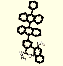 Cc1cc2ccccc2cc1-c1cc(-c2c3ccccc3c(-c3c4ccccc4c(-c4ccccc4)c4ccccc34)c3ccccc23)ccc1[SiH](C)C